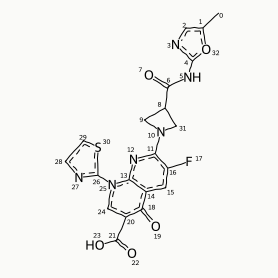 Cc1cnc(NC(=O)C2CN(c3nc4c(cc3F)c(=O)c(C(=O)O)cn4-c3nccs3)C2)o1